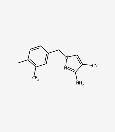 Cc1ccc(Cn2cc(C#N)c(N)n2)cc1C(F)(F)F